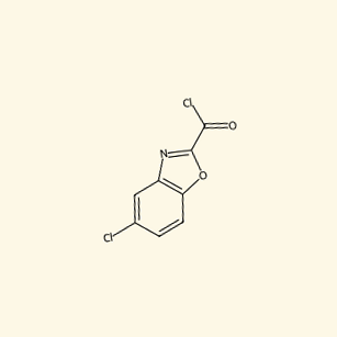 O=C(Cl)c1nc2cc(Cl)ccc2o1